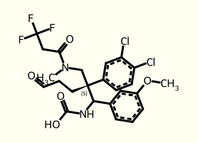 COc1cccc(C(NC(=O)O)[C@](CCC=O)(CN(C)C(=O)CC(F)(F)F)c2ccc(Cl)c(Cl)c2)c1